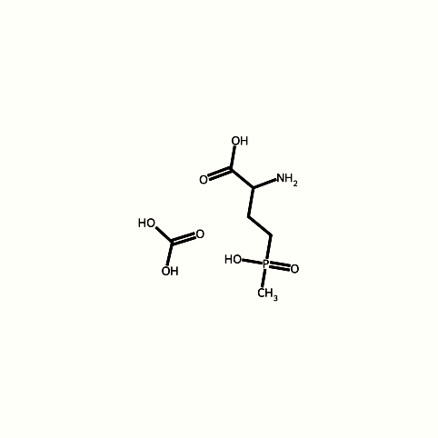 CP(=O)(O)CCC(N)C(=O)O.O=C(O)O